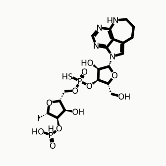 O=[PH](O)O[C@@H]1[C@H](O)[C@@H](COP(=O)(S)O[C@H]2[C@@H](O)[C@H](n3cc4c5c(ncnc53)NCCC4)O[C@@H]2CO)O[C@H]1I